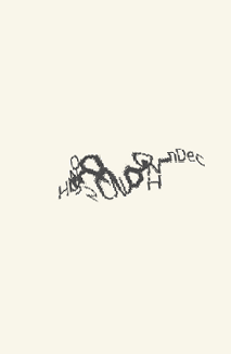 CCCCCCCCCCCCNC(=O)c1ccc(CN(CC(=O)O)CC2=CCC(=O)C(c3csnn3)=C2)cc1